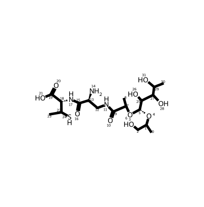 CC(CO)O[C@H](OC(C)C(=O)NC[C@H](N)C(=O)N[C@@H](C(=O)O)C(C)S)C(O)C(O)C(C)O